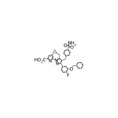 NS(=O)(=O)c1ccc(Cc2c(-c3ccc(F)c(OCc4ccccc4)c3)nn(-c3nc(C(=O)O)cs3)c2CC2CC2)cc1